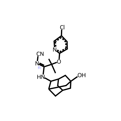 CC(C)(Oc1ccc(Cl)cn1)/C(=N\C#N)NC1C2CC3CC1CC(O)(C3)C2